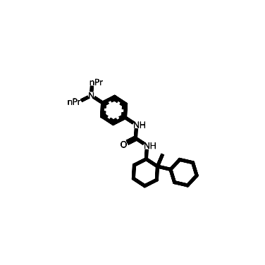 CCCN(CCC)c1ccc(NC(=O)NC2CCCCC2(C)C2CCCCC2)cc1